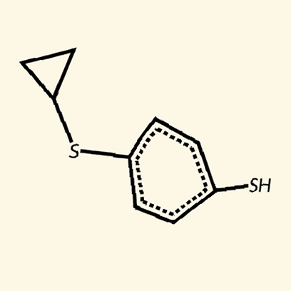 Sc1ccc(SC2CC2)cc1